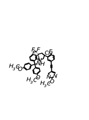 COc1ccc(C(NN2C[C@](C)(c3cc(C#Cc4cnc(OC)nc4)ccc3F)C[C@@H](C(F)(F)F)O2)(c2ccccc2)c2ccc(OC)cc2)cc1